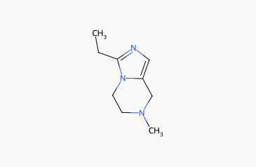 CCc1ncc2n1CCN(C)C2